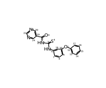 O=C(NC(=S)Nc1cccc(Oc2ccccc2)c1)c1cncnc1